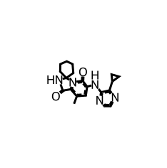 Cc1cc(Nc2nccnc2C2CC2)c(=O)n2c1C(=O)NC21CCCCC1